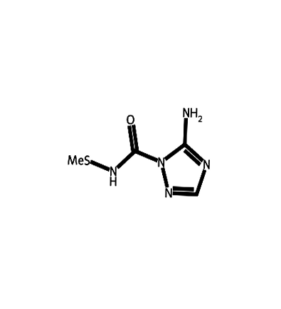 CSNC(=O)n1ncnc1N